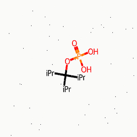 CC(C)C(OP(=O)(O)O)(C(C)C)C(C)C